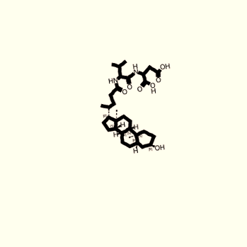 CC(C)C(NC(=O)CCC(C)[C@H]1CC[C@H]2[C@@H]3CC[C@@H]4C[C@H](O)CC[C@]4(C)[C@H]3CC[C@]12C)C(=O)NC(CC(=O)O)C(=O)O